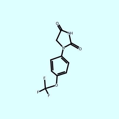 O=C1CN(c2ccc(OC(F)(F)F)cc2)C(=O)N1